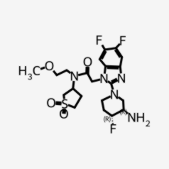 COCCN(C(=O)Cn1c(N2CC[C@@H](F)[C@H](N)C2)nc2cc(F)c(F)cc21)C1CCS(=O)(=O)C1